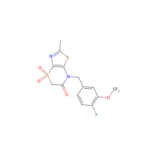 Cc1nc2c(s1)N(Cc1ccc(F)c(OC(F)(F)F)c1)C(=O)CS2(=O)=O